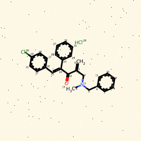 C=C(CN(C)Cc1ccccc1)C(=O)/C(=C/c1ccc(Cl)cc1)c1ccccc1.Cl